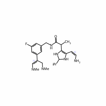 CN/C=C(\CNC)c1cc(F)cc(CNC(=O)C(C)C2=C(/C=C\N)NC(C(C)C)N2)c1